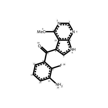 COc1ncnc2[nH]cc(C(=O)c3cccc(N)c3F)c12